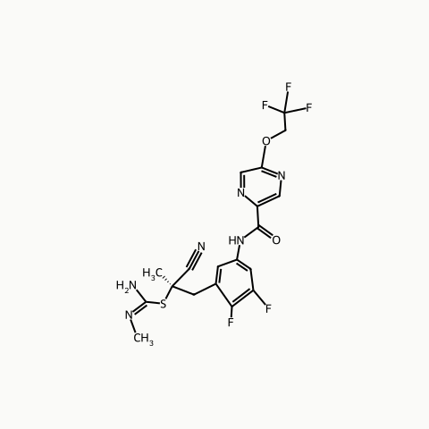 C/N=C(/N)S[C@@](C)(C#N)Cc1cc(NC(=O)c2cnc(OCC(F)(F)F)cn2)cc(F)c1F